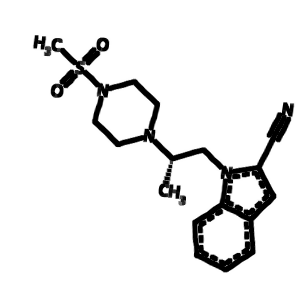 C[C@@H](Cn1c(C#N)cc2ccccc21)N1CCN(S(C)(=O)=O)CC1